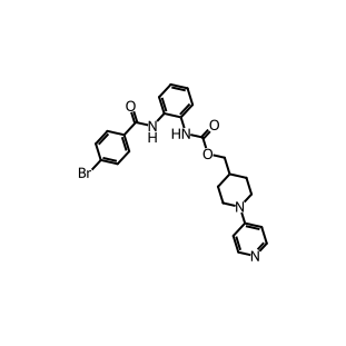 O=C(Nc1ccccc1NC(=O)c1ccc(Br)cc1)OCC1CCN(c2ccncc2)CC1